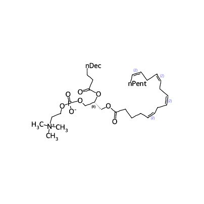 CCCCC/C=C\C/C=C\C/C=C\C/C=C\CCCC(=O)OC[C@H](COP(=O)([O-])OCC[N+](C)(C)C)OC(=O)CCCCCCCCCCCC